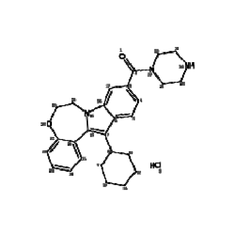 Cl.O=C(c1ccc2c(C3CCCCC3)c3n(c2c1)CCOc1ccccc1-3)N1CCNCC1